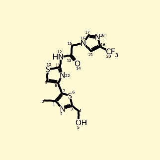 Cc1nc(CO)sc1-c1csc(NC(=O)Cn2cnc(C(F)(F)F)c2)n1